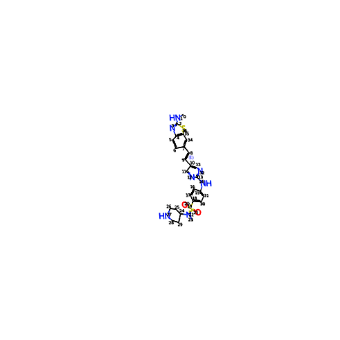 CNc1nc2ccc(/C=C/c3cnc(Nc4ccc(S(=O)(=O)N(C)C5CCNCC5)cc4)nc3)cc2s1